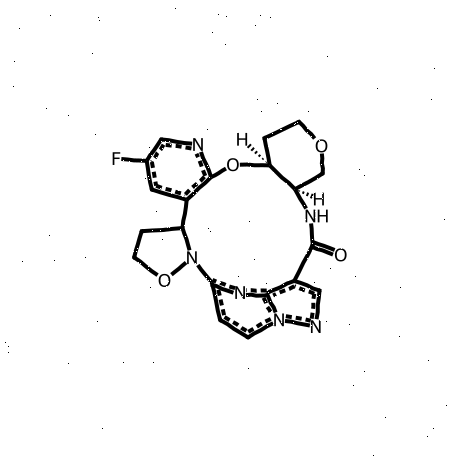 O=C1N[C@@H]2COCC[C@@H]2Oc2ncc(F)cc2C2CCON2c2ccn3ncc1c3n2